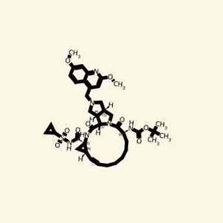 COc1ccc2c(CN3C[C@H]4CN5C(=O)[C@H](NC(=O)OC(C)(C)C)CCCCC/C=C\[C@H]6C[C@@]6(C(=O)NS(=O)(=O)C6CC6)NC(=O)[C@@H]5[C@H]4C3)cc(OC)nc2c1